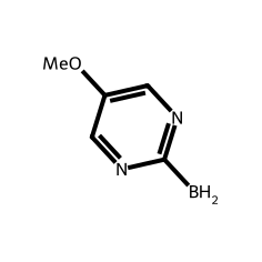 Bc1ncc(OC)cn1